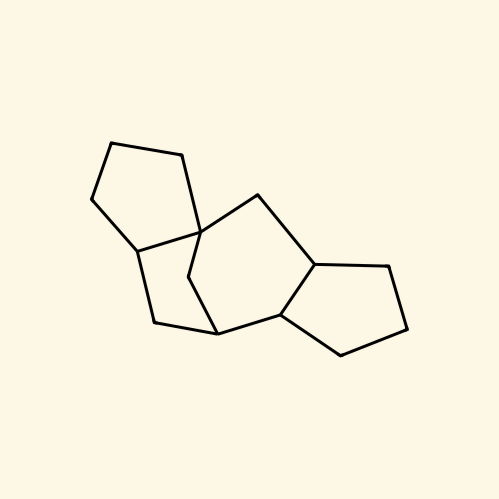 C1CC2CC34CCCC3CC(C4)C2C1